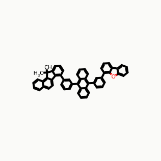 CC1(C)c2cccc(-c3cccc(-c4c5ccccc5c(-c5cccc(-c6cccc7c6oc6ccccc67)c5)c5ccccc45)c3)c2-c2ccc3ccccc3c21